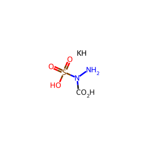 NN(C(=O)O)S(=O)(=O)O.[KH]